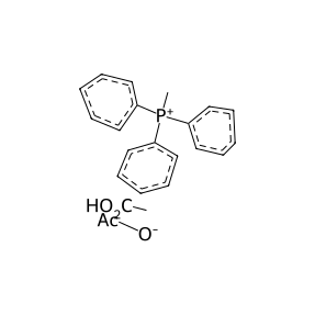 CC(=O)O.CC(=O)[O-].C[P+](c1ccccc1)(c1ccccc1)c1ccccc1